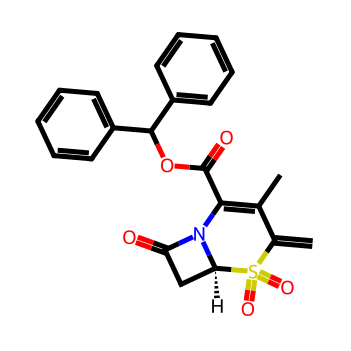 C=C1C(C)=C(C(=O)OC(c2ccccc2)c2ccccc2)N2C(=O)C[C@@H]2S1(=O)=O